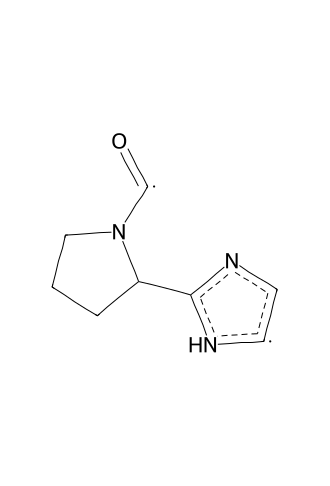 O=[C]N1CCCC1c1nc[c][nH]1